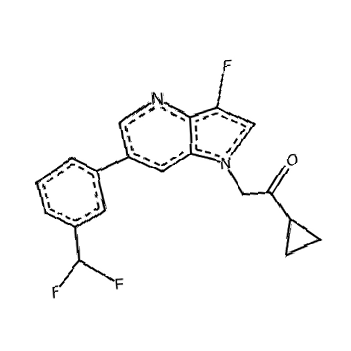 O=C(Cn1cc(F)c2ncc(-c3cccc(C(F)F)c3)cc21)C1CC1